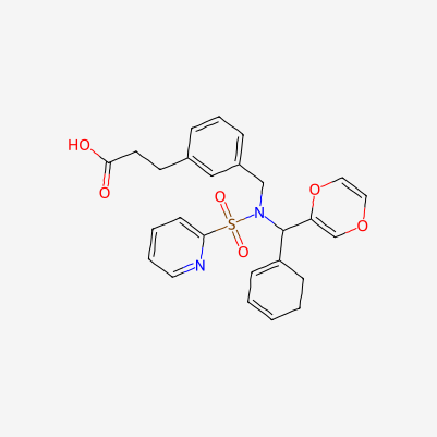 O=C(O)CCc1cccc(CN(C(C2=CC=CCC2)C2=COC=CO2)S(=O)(=O)c2ccccn2)c1